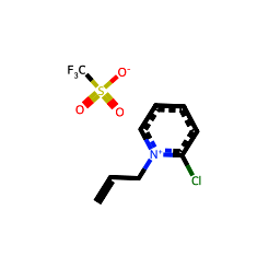 C=CC[n+]1ccccc1Cl.O=S(=O)([O-])C(F)(F)F